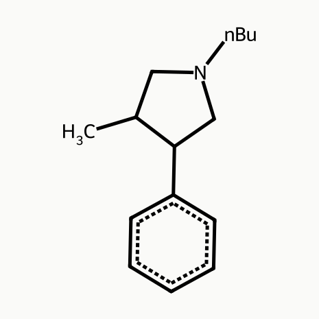 CCCCN1CC(C)C(c2ccccc2)C1